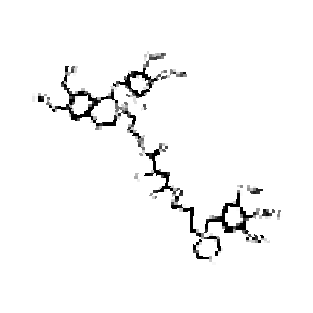 COc1ccc(C[C@@H]2c3cc(CO)c(CO)cc3CC[N@@+]2(C)CCCOC(=O)/C(Cl)=C/C(=O)OCCC[N+]2(Cc3cc(OC)c(OC)c(OC)c3)CCOCC2)cc1OC